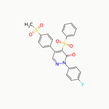 CS(=O)(=O)c1ccc(-c2cnn(-c3ccc(F)cc3)c(=O)c2S(=O)(=O)c2ccccc2)cc1